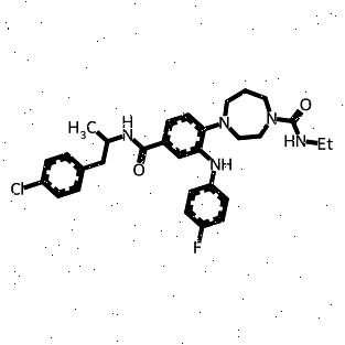 CCNC(=O)N1CCCN(c2ccc(C(=O)NC(C)Cc3ccc(Cl)cc3)cc2Nc2ccc(F)cc2)CC1